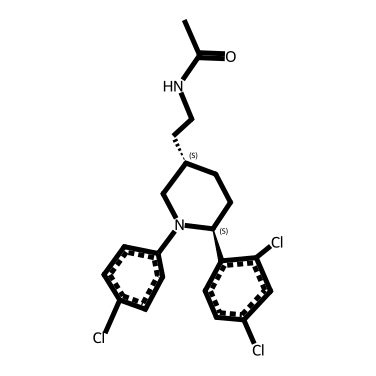 CC(=O)NCC[C@@H]1CC[C@@H](c2ccc(Cl)cc2Cl)N(c2ccc(Cl)cc2)C1